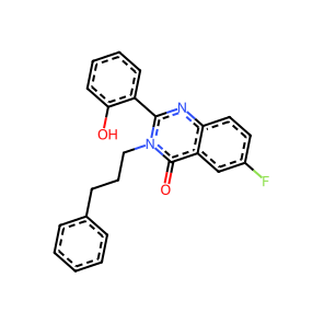 O=c1c2cc(F)ccc2nc(-c2ccccc2O)n1CCCc1ccccc1